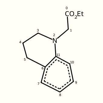 CCOC(=O)CN1CCCc2ccccc21